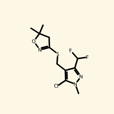 Cn1nc(C(F)F)c(CSC2=NOC(C)(C)C2)c1Cl